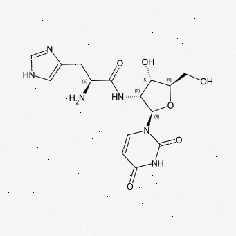 N[C@@H](Cc1c[nH]cn1)C(=O)N[C@@H]1[C@H](O)[C@@H](CO)O[C@H]1n1ccc(=O)[nH]c1=O